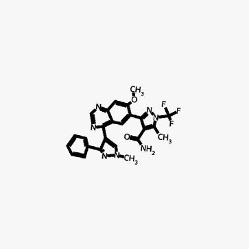 COc1cc2ncnc(-c3cn(C)nc3-c3ccccc3)c2cc1-c1nn(C(F)(F)F)c(C)c1C(N)=O